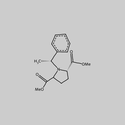 COC(=O)C1CC[C@@H](C(=O)OC)N1[C@H](C)c1ccccc1